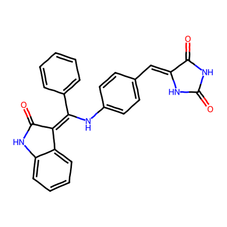 O=C1NC(=O)C(=Cc2ccc(NC(=C3C(=O)Nc4ccccc43)c3ccccc3)cc2)N1